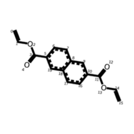 C=COC(=O)c1ccc2cc(C(=O)OC=C)ccc2c1